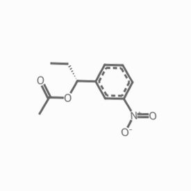 CC[C@@H](OC(C)=O)c1cccc([N+](=O)[O-])c1